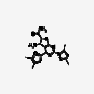 Cc1cc(C)n(-c2nc3c(c(-c4cc(C)c(C)o4)n2)C(N)C(C(N)=O)S3)n1